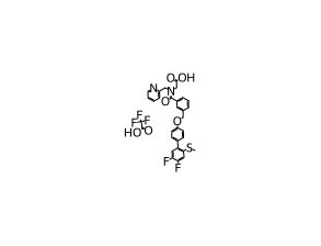 CSc1cc(F)c(F)cc1-c1ccc(OCc2cccc(C(=O)N(CC(=O)O)Cc3ccccn3)c2)cc1.O=C(O)C(F)(F)F